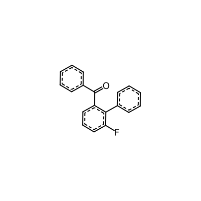 O=C(c1ccccc1)c1cccc(F)c1-c1ccccc1